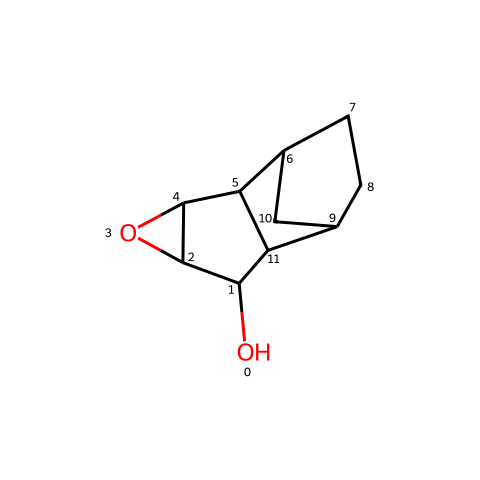 OC1C2OC2C2C3CCC(C3)C12